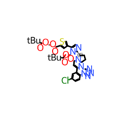 CC(C)(C)C(=O)OCOC(=O)c1cc(-c2cnc([C@@H]3CCc4nc(-c5cc(Cl)ccc5-n5cnnn5)cc(=O)n43)n2COC(=O)C(C)(C)C)cs1